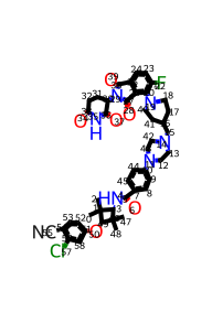 CC1(C)[C@H](NC(=O)c2ccc(N3CCN(CC4CCN(c5c(F)ccc6c5C(=O)N(C5CCC(=O)NC5=O)C6=O)CC4)CC3)cc2)C(C)(C)[C@H]1Oc1ccc(C#N)c(Cl)c1